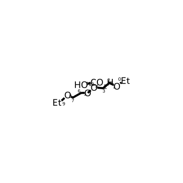 CCOCCOOCCOCC.O=C(O)O